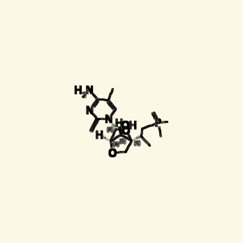 C=C1N=C(N)C(C)=CN1[C@@H]1O[C@@]2(C(C)CP(=C)(C)C)CO[C@@H]1[C@@H]2O